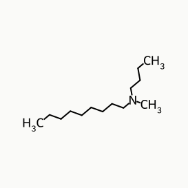 CCCCCCCCCN(C)CCCC